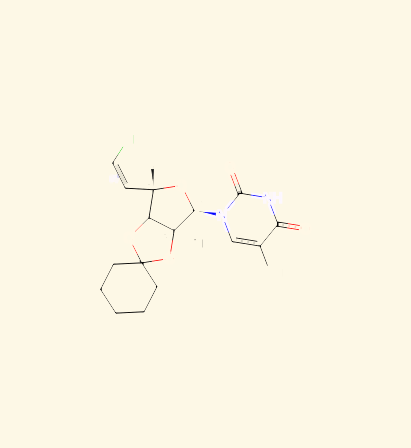 CC[C@@]1(/C=C\Cl)O[C@@H](n2cc(C)c(=O)[nH]c2=O)[C@H]2OC3(CCCCC3)OC21